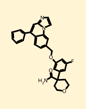 NC(=O)C1(c2cc(F)cc(OCc3ccc4c(-c5ccccc5)cc5nccn5c4c3)c2)CCOCC1